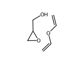 C=COC=C.OCC1CO1